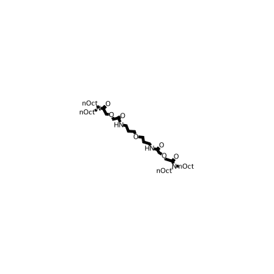 CCCCCCCCN(CCCCCCCC)C(=O)COCC(=O)NCCCOCCCNC(=O)COCC(=O)N(CCCCCCCC)CCCCCCCC